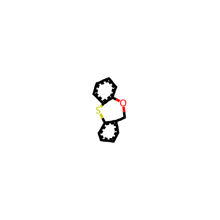 c1ccc2c(c1)COc1ccccc1S2